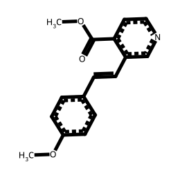 COC(=O)c1ccncc1/C=C/c1ccc(OC)cc1